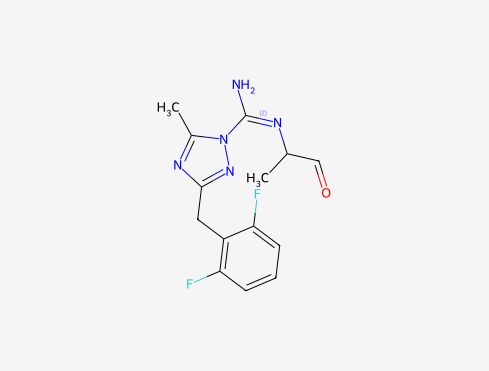 Cc1nc(Cc2c(F)cccc2F)nn1/C(N)=N\C(C)C=O